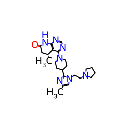 Cc1cn(CCN2CCCC2)c(C2CCN(c3ncnc4c3[C@H](C)CC(=O)N4)CC2)n1